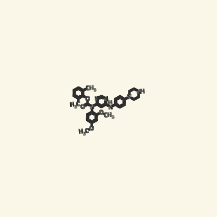 COc1ccc(N(C(=O)Oc2c(C)cccc2C)c2cc(Nc3ccc(N4CCNCC4)cc3)ncn2)c(OC)c1